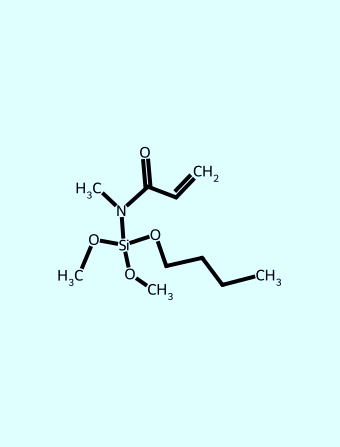 C=CC(=O)N(C)[Si](OC)(OC)OCCCC